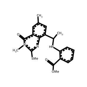 COC(=O)c1ccccc1NC(C)c1cc(C)cc2c(=O)n(C)c(SC)nc12